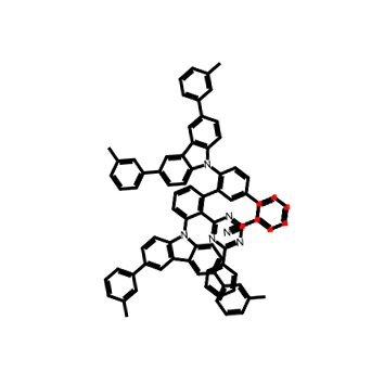 Cc1cccc(-c2ccc3c(c2)c2cc(-c4cccc(C)c4)ccc2n3-c2ccc(-c3ccccc3C#N)cc2-c2cccc(-n3c4ccc(-c5cccc(C)c5)cc4c4cc(-c5cccc(C)c5)ccc43)c2-c2nc(-c3ccccc3)nc(-c3ccccc3)n2)c1